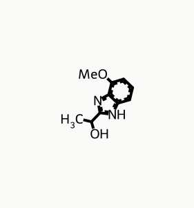 COc1cccc2[nH]c(C(C)O)nc12